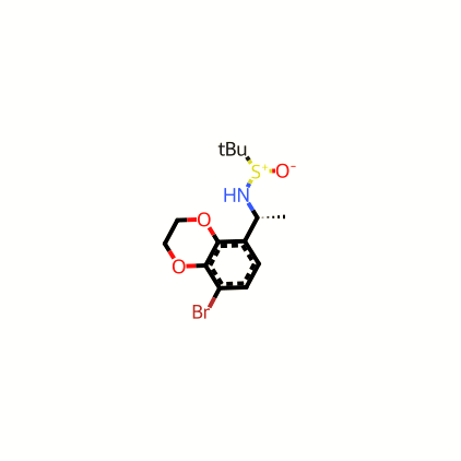 C[C@@H](N[S+]([O-])C(C)(C)C)c1ccc(Br)c2c1OCCO2